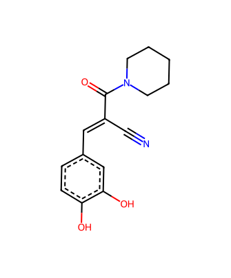 N#C/C(=C\c1ccc(O)c(O)c1)C(=O)N1CCCCC1